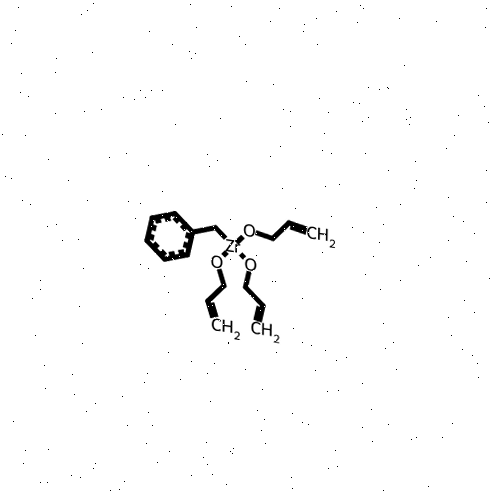 C=CC[O][Zr]([CH2]c1ccccc1)([O]CC=C)[O]CC=C